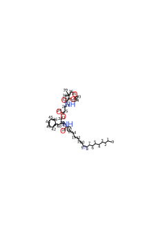 CCCCCCCC/C=C\CCCCCCCC(=O)N[C@H](COC(=O)CCNC(=O)C1OC(C)(C)OCC1(C)C)Cc1ccccc1